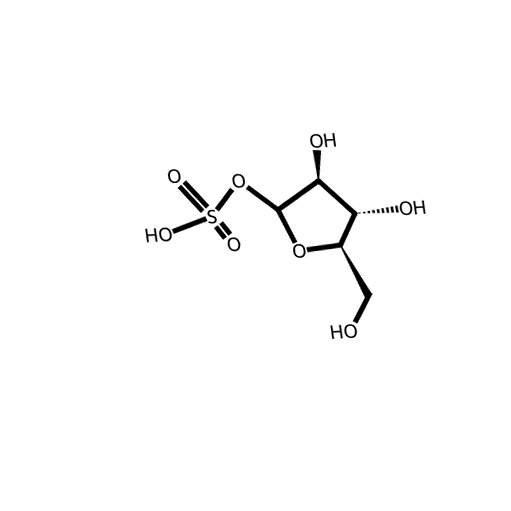 O=S(=O)(O)OC1O[C@H](CO)[C@@H](O)[C@@H]1O